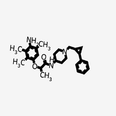 Cc1cc(OC(C)C(=O)NC2CCN(CC3CC3c3ccccc3)CC2)c(C)c(C)c1N